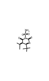 CC(C)=C1C(=O)N(S(N)(=O)=O)C(=S)N=C1C(C)(C)C